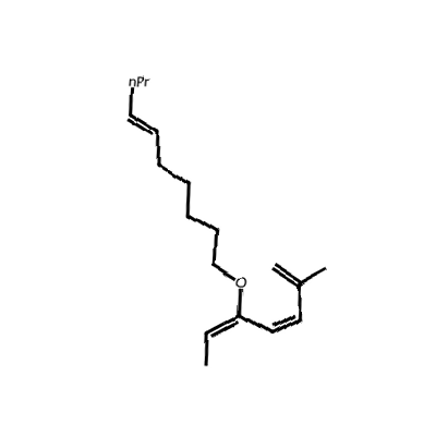 C=C(C)/C=C\C(=C/C)OCCCCC/C=C/CCC